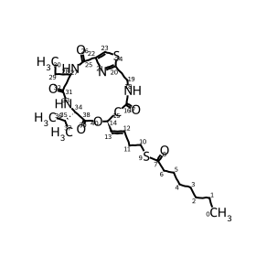 CCCCCCCC(=O)SCC/C=C/[C@@H]1CC(=O)NCc2nc(cs2)C(=O)NC(CC)C(=O)N[C@@H](C(C)C)C(=O)O1